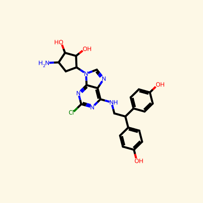 NC1CC(n2cnc3c(NCC(c4ccc(O)cc4)c4ccc(O)cc4)nc(Cl)nc32)C(O)C1O